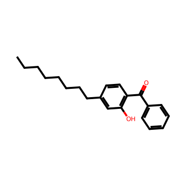 CCCCCCCCc1ccc(C(=O)c2ccccc2)c(O)c1